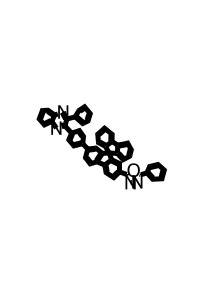 c1ccc(-c2nnc(-c3ccc4c(c3)C3(c5ccccc5-c5ccccc53)c3cc(-c5ccc(-c6nc7ccccc7nc6-c6ccccc6)cc5)ccc3-4)o2)cc1